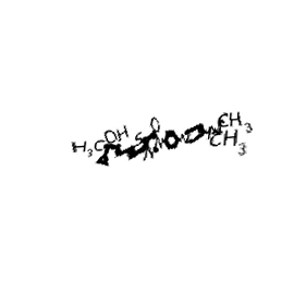 CN(C)[C@@H]1CCN(c2ccc(-n3cnc4cc(CCC(C)(O)C5CC5)sc4c3=O)cc2)C1